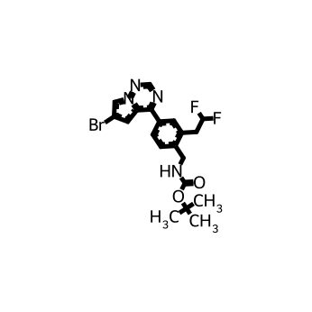 CC(C)(C)OC(=O)NCc1ccc(-c2ncnn3cc(Br)cc23)cc1CC(F)F